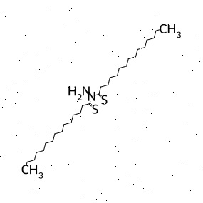 CCCCCCCCCCCCCCC(=S)N(N)C(=S)CCCCCCCCCCCCCC